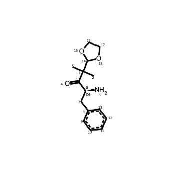 CC(C)(C(=O)[C@@H](N)Cc1ccccc1)C1OCCO1